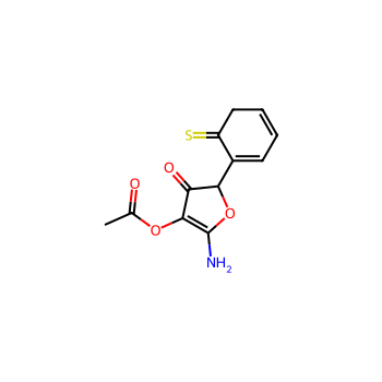 CC(=O)OC1=C(N)OC(C2=CC=CCC2=S)C1=O